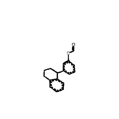 O=COc1cccc(C2CCCc3ccccc32)c1